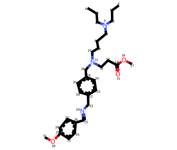 CCCN(CCC)CCCCN(CCC(=O)OC)Cc1ccc(CN=Cc2ccc(OC)cc2)cc1